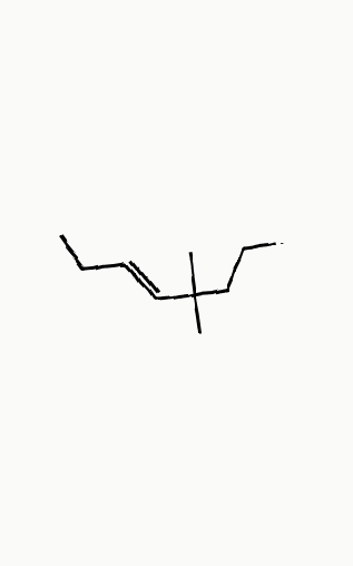 [CH2]CCC(C)(C)/C=C/CC